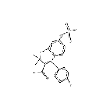 CC(=O)C1=C(c2ccc(F)cc2)c2ccc(NS(C)(=O)=O)cc2OC1(C)C